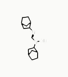 ON(C=NC1CC2CCC1C2)C1CC2CCC1C2